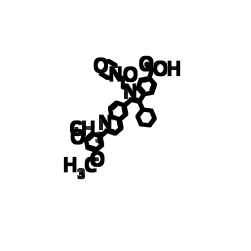 COc1cc(OC)cc(-c2ccc3cc(-c4c(C5CCCCC5)c5ccc(C(=O)O)cc5n4CC(=O)N4CCOCC4)ccc3n2)c1